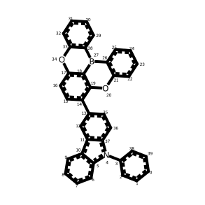 c1ccc(-n2c3ccccc3c3cc(-c4ccc5c6c4Oc4ccccc4B6c4ccccc4O5)ccc32)cc1